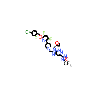 Fc1cc(Cl)ccc1COc1nc(C2CCN(Cc3nc4cc(-c5noc(C(F)(F)F)n5)nnc4n3C[C@@H]3CCO3)CC2)c(F)cc1F